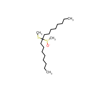 CCCCCCCCC(CCCCCCCC)(SC)[S+](C)[O-]